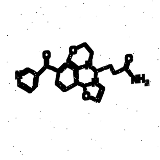 NC(=O)CCC(N1CCOCC1)N1C=COC1c1ccc(C(=O)c2cccnc2)cc1